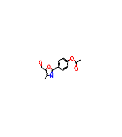 CC(=O)Oc1ccc(-c2nc(C)c(C=O)o2)cc1